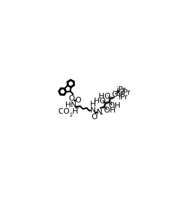 CC(C)[Si](OC[C@@H](O)[C@@H](O)[C@H](O)[C@@H](O)CN(C)C(=O)NCCCC[C@@H](NC(=O)OCC1c2ccccc2-c2ccccc21)C(=O)O)(C(C)C)C(C)C